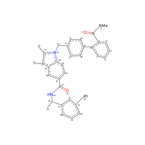 CNC(=O)c1ccccc1-c1ccc(Cn2c(C)c(C)c3cc(C(=O)NC(C)c4cccc(C(C)C)c4)ccc32)cc1